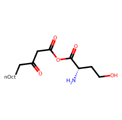 CCCCCCCCCC(=O)CC(=O)OC(=O)[C@@H](N)CCO